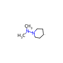 CN(C)N1CC[CH]CC1